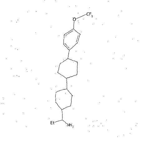 CCC(N)C1CCC(C2CCC(c3ccc(OC(F)(F)F)cc3)CC2)CC1